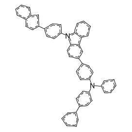 c1ccc(-c2ccc(N(c3ccccc3)c3ccc(-c4ccc5c(c4)c4ccccc4n5-c4ccc(-c5ccc6ccccc6c5)cc4)cc3)cc2)cc1